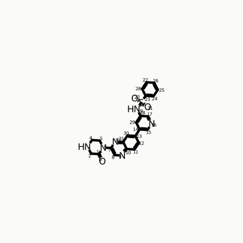 O=C1CNCCN1c1cnc2ccc(-c3cncc(NS(=O)(=O)c4ccccc4)c3)cc2n1